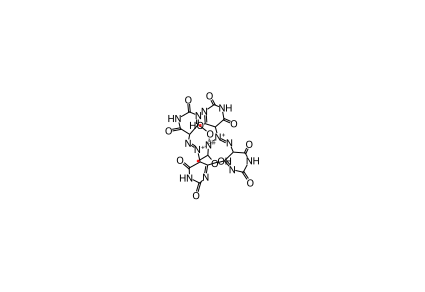 CC1OC2=NC(=O)NC(=O)C2N=[N+](C2C(=O)NC(=O)N=C2O)[N@@+]12OC1=NC(=O)NC(=O)C1N=[N+]2C1C(=O)NC(=O)N=C1O